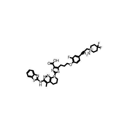 Cc1c(Nc2nc3ccccc3s2)nnc2c1CCCN2c1nc(C(=O)O)c(CCCOc2ccc(C#CC[N+]3(N)CCC(F)(F)CC3)cc2F)s1